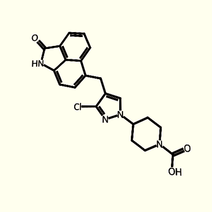 O=C1Nc2ccc(Cc3cn(C4CCN(C(=O)O)CC4)nc3Cl)c3cccc1c23